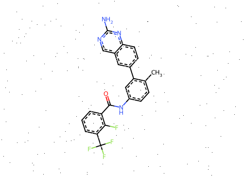 Cc1ccc(NC(=O)c2cccc(C(F)(F)F)c2F)cc1-c1ccc2nc(N)ncc2c1